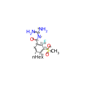 CCCCCCc1ccc(C(=O)N=C(N)N)c(F)c1S(C)(=O)=O